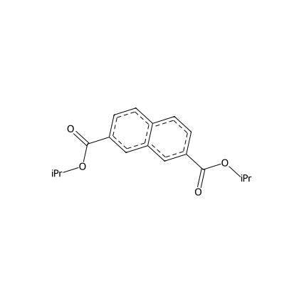 CC(C)OC(=O)c1ccc2ccc(C(=O)OC(C)C)cc2c1